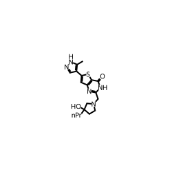 CCCC1(O)CCN(Cc2nc3cc(-c4cn[nH]c4C)sc3c(=O)[nH]2)C1